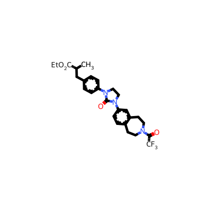 CCOC(=O)C(C)Cc1ccc(N2CCN(c3ccc4c(c3)CCN(C(=O)C(F)(F)F)CC4)C2=O)cc1